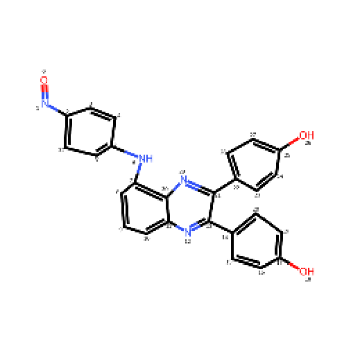 O=Nc1ccc(Nc2cccc3nc(-c4ccc(O)cc4)c(-c4ccc(O)cc4)nc23)cc1